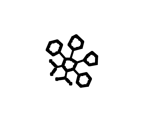 O=P(=O)c1c(-c2ccccc2)c(-c2ccccc2)c(-c2ccccc2)c(-c2ccccc2)c1P(=O)=O